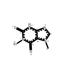 CCn1c(=O)[nH]c2ncn(C)c2c1=O